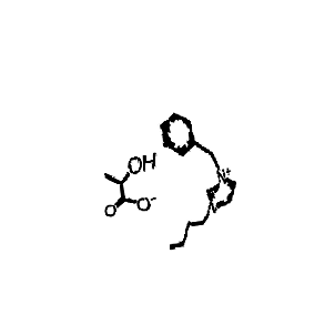 CC(O)C(=O)[O-].CCCCn1cc[n+](Cc2ccccc2)c1